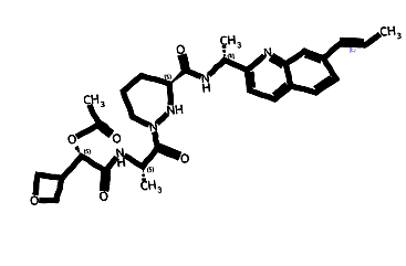 C/C=C/c1ccc2ccc([C@@H](C)NC(=O)[C@@H]3CCCN(C(=O)[C@H](C)NC(=O)[C@@H](OC(C)=O)C4COC4)N3)nc2c1